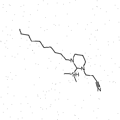 CCCCCCCCCCN1CCCN(CCC#N)C1[SiH](C)C